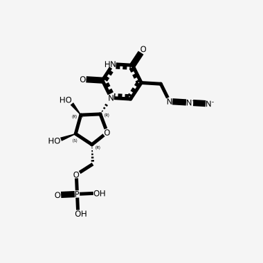 [N-]=[N+]=NCc1cn([C@@H]2O[C@H](COP(=O)(O)O)[C@@H](O)[C@H]2O)c(=O)[nH]c1=O